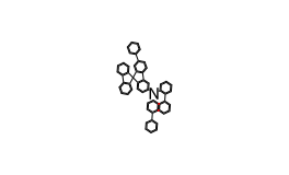 c1ccc(-c2ccc(N(c3ccc4c(c3)-c3ccc(-c5ccccc5)cc3C43c4ccccc4-c4ccccc43)c3ccccc3-c3ccccc3)cc2)cc1